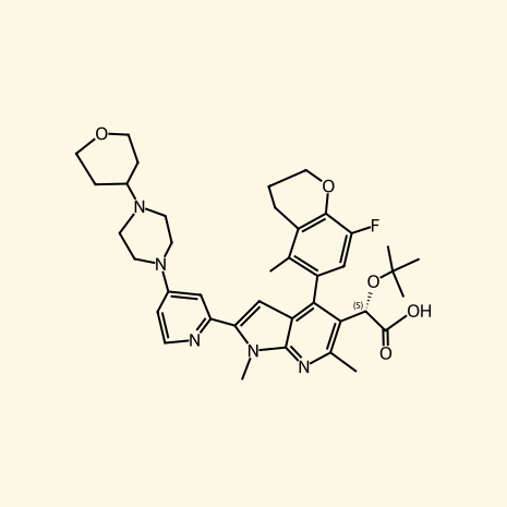 Cc1nc2c(cc(-c3cc(N4CCN(C5CCOCC5)CC4)ccn3)n2C)c(-c2cc(F)c3c(c2C)CCCO3)c1[C@H](OC(C)(C)C)C(=O)O